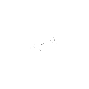 CC(C)(C)OC(=O)N1CCC(C#Cc2ccc(Br)cc2N)CC1